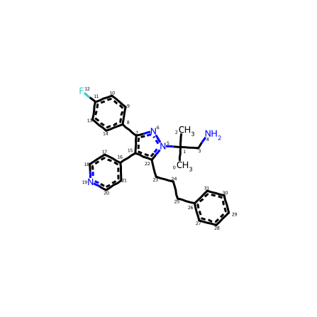 CC(C)(CN)n1nc(-c2ccc(F)cc2)c(-c2ccncc2)c1CCCc1ccccc1